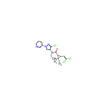 CCN(C(=O)C1C(C=C(Cl)Cl)C1(C)C)c1cn(-c2cccnc2)nc1Cl